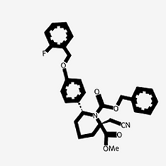 COC(=O)[C@]1(CC#N)CCC[C@H](c2ccc(OCc3ccccc3F)cc2)N1C(=O)OCc1ccccc1